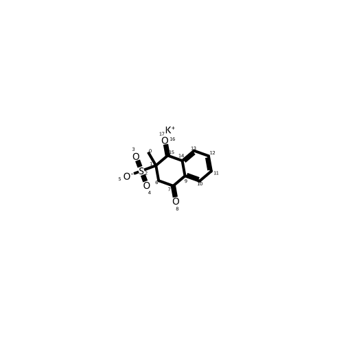 CC1(S(=O)(=O)[O-])CC(=O)c2ccccc2C1=O.[K+]